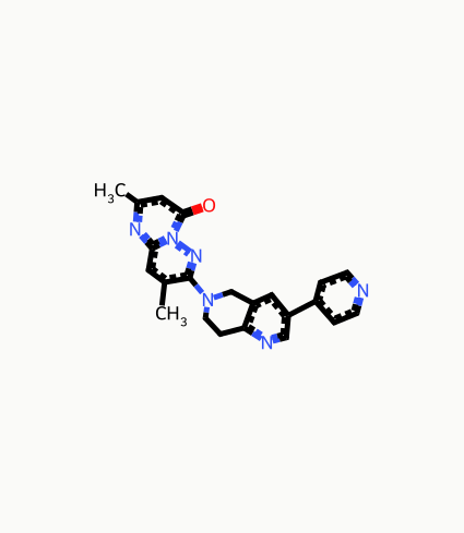 Cc1cc(=O)n2nc(N3CCc4ncc(-c5ccncc5)cc4C3)c(C)cc2n1